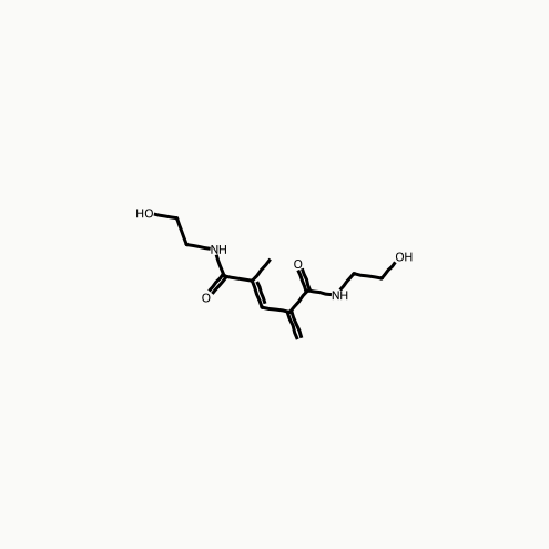 C=C(/C=C(\C)C(=O)NCCO)C(=O)NCCO